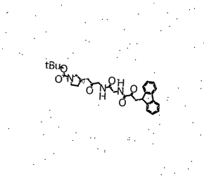 CC(C)(C)OC(=O)N1CC[C@H](CC(=O)CNC(=O)CNC(=O)C(=O)CC2c3ccccc3-c3ccccc32)C1